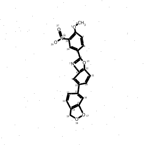 COc1ccc(-c2nc3cc(-c4ccc5c(c4)OOC5)ccc3o2)cc1[N+](=O)[O-]